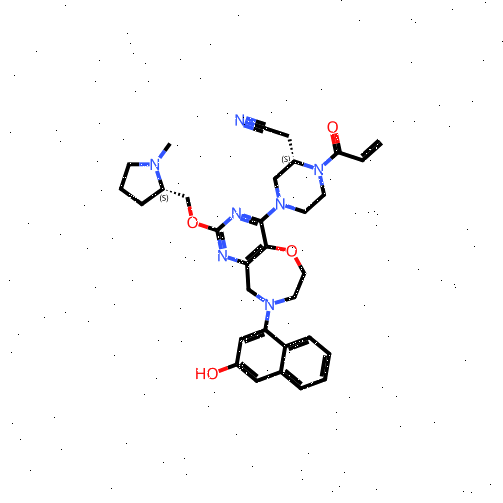 C=CC(=O)N1CCN(c2nc(OC[C@@H]3CCCN3C)nc3c2OCCN(c2cc(O)cc4ccccc24)C3)C[C@@H]1CC#N